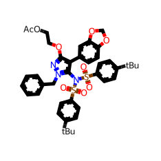 CC(=O)OCCOc1nn(Cc2ccccc2)c(N(S(=O)(=O)c2ccc(C(C)(C)C)cc2)S(=O)(=O)c2ccc(C(C)(C)C)cc2)c1-c1ccc2c(c1)OCO2